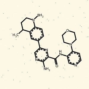 BN1CCC(C)c2cc(-c3cnc(N)c(C(=O)Nc4cnccc4N4CCOCC4)n3)ccc21